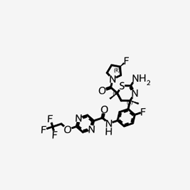 C[C@]1(C(=O)N2CC[C@@H](F)C2)C[C@@](C)(c2cc(NC(=O)c3cnc(OCC(F)(F)F)cn3)ccc2F)N=C(N)S1